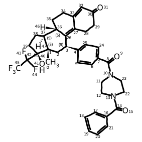 C[C@]12C[C@H](c3ccc(C(=O)N4CCN(C(=O)c5ccccc5)CC4)cc3)C3=C4CCC(=O)C=C4CC[C@H]3[C@@H]1CC[C@@]2(O)C(F)(F)C(F)(F)F